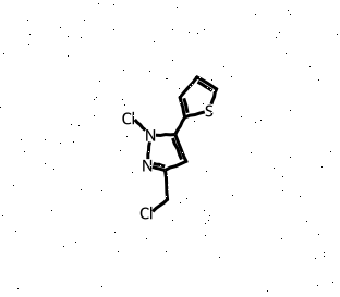 ClCc1cc(-c2cccs2)n(Cl)n1